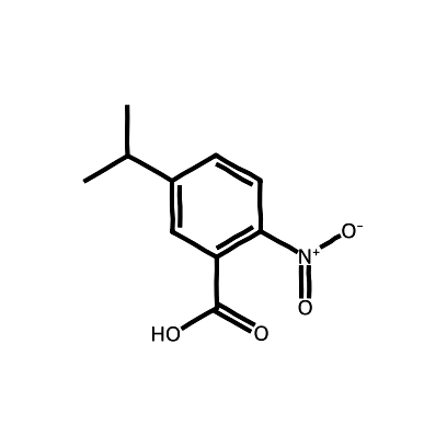 CC(C)c1ccc([N+](=O)[O-])c(C(=O)O)c1